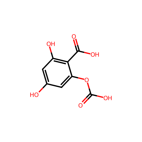 O=C(O)Oc1cc(O)cc(O)c1C(=O)O